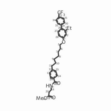 CCc1cc(OCCCCCCCc2ccc(C(=O)NCCC(=O)OC)cc2)ccc1-c1ccc(C(F)(F)F)cc1